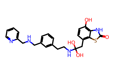 O=c1[nH]c2c(O)ccc(CC(O)(O)NCCc3cccc(CNCc4ccccn4)c3)c2s1